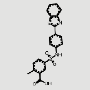 Cc1ccc(S(=O)(=O)Nc2ccc(-c3nc4ccccc4s3)cc2)cc1C(=O)O